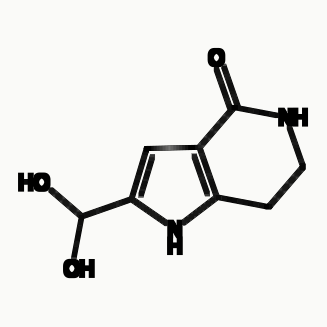 O=C1NCCc2[nH]c(C(O)O)cc21